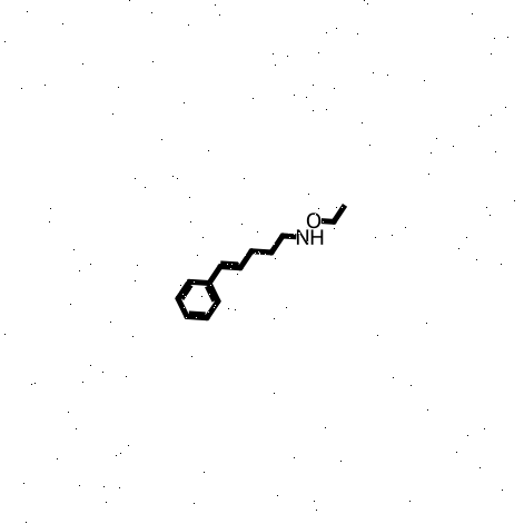 CCONCCCC=Cc1ccccc1